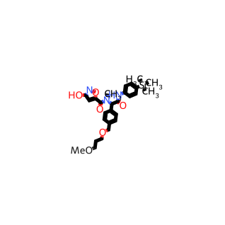 COCCCOCc1ccc(C(C(=O)Nc2ccc([Si](C)(C)C)cc2)N(C)C(=O)c2cc(O)no2)cc1